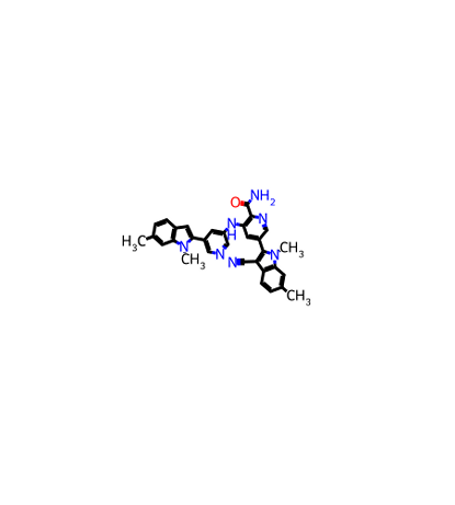 Cc1ccc2cc(-c3cncc(Nc4cc(-c5c(C#N)c6ccc(C)cc6n5C)cnc4C(N)=O)c3)n(C)c2c1